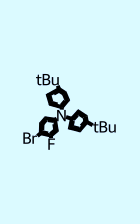 CC(C)(C)c1ccc(N(c2ccc(C(C)(C)C)cc2)c2ccc(Br)c(F)c2)cc1